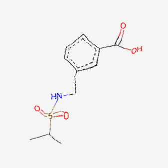 CC(C)S(=O)(=O)NCc1cccc(C(=O)O)c1